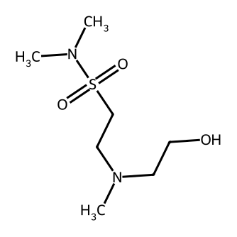 CN(CCO)CCS(=O)(=O)N(C)C